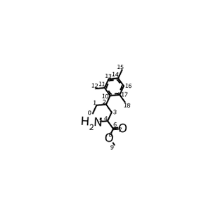 CCC(CC(N)C(=O)OC)c1c(C)cc(C)cc1C